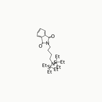 CC[Si](CC)(CC)N(CCCCN1C(=O)c2ccccc2C1=O)[Si](CC)(CC)CC